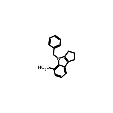 O=C(O)c1cccc2c3c(n(Cc4ccccc4)c12)CCC3